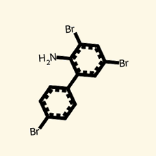 Nc1c(Br)cc(Br)cc1-c1ccc(Br)cc1